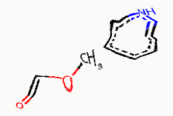 COC=O.c1cc[nH]c1